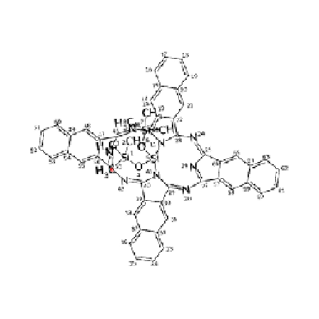 C[Si](C)(C)O[Si]1(O[Si](C)(C)C)n2c3c4cc5ccccc5cc4c2/N=C2N=C(/N=c4/c5cc6ccccc6cc5/c(n41)=N/C1=NC(=N\3)/c3cc4ccccc4cc31)c1cc3ccccc3cc1\2